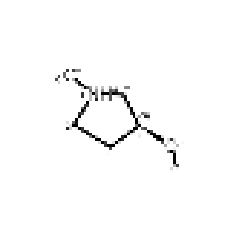 [CH2-][NH+]1CC[C@H](OC)C1